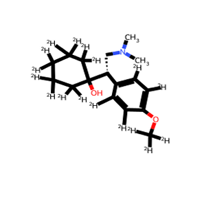 [2H]c1c([2H])c([C@@H](CN(C)C)C2(O)C([2H])([2H])C([2H])([2H])C([2H])([2H])C([2H])([2H])C2([2H])[2H])c([2H])c([2H])c1OC([2H])([2H])[2H]